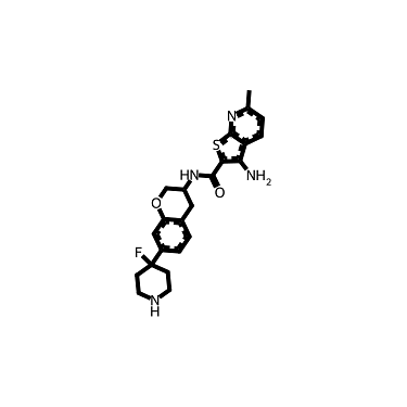 Cc1ccc2c(N)c(C(=O)NC3COc4cc(C5(F)CCNCC5)ccc4C3)sc2n1